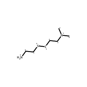 CN(C)CCSSCCN